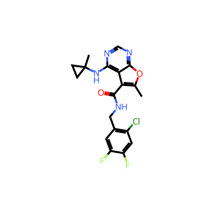 Cc1oc2ncnc(NC3(C)CC3)c2c1C(=O)NCc1cc(F)c(F)cc1Cl